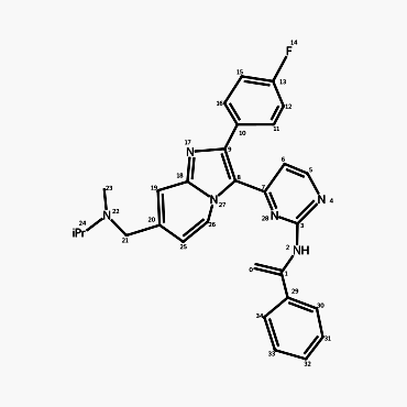 C=C(Nc1nccc(-c2c(-c3ccc(F)cc3)nc3cc(CN(C)C(C)C)ccn23)n1)c1ccccc1